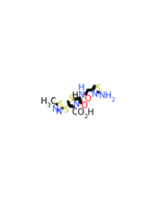 Cc1nnc(SC2=C(C(=O)O)N3C(=O)[C@@H](NC(=O)Cc4csc(N)n4)[C@@H]3SC2)s1